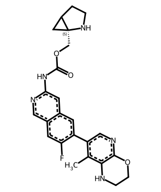 Cc1c(-c2cc3cc(NC(=O)OC[C@]45CC4CCN5)ncc3cc2F)cnc2c1NCCO2